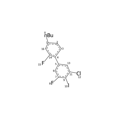 CCCCc1ccc(-c2cc(F)c(I)c(Cl)c2)c(F)c1